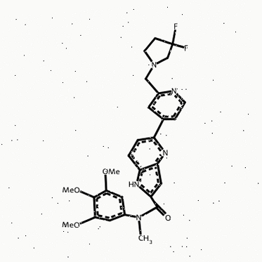 COc1cc(N(C)C(=O)c2cc3nc(-c4ccnc(CN5CCC(F)(F)C5)c4)ccc3[nH]2)cc(OC)c1OC